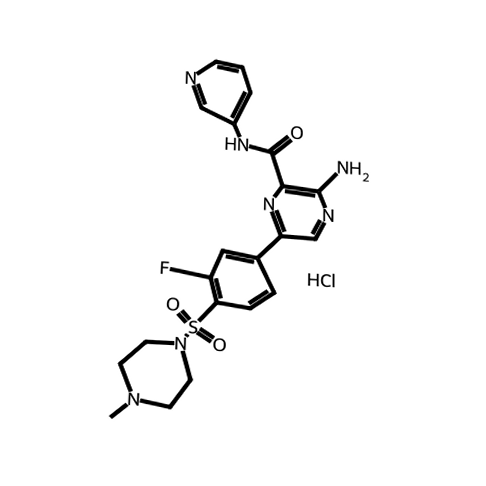 CN1CCN(S(=O)(=O)c2ccc(-c3cnc(N)c(C(=O)Nc4cccnc4)n3)cc2F)CC1.Cl